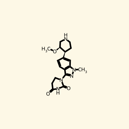 CO[C@H]1CNCC[C@H]1c1ccc2c(N3CCC(=O)NC3=O)nn(C)c2c1